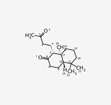 CC(=O)CC[C@H]1C(=O)CC[C@H]2C(C)(C)CCC[C@]12C